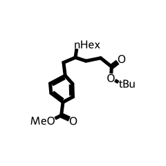 CCCCCCC(CCC(=O)OC(C)(C)C)Cc1ccc(C(=O)OC)cc1